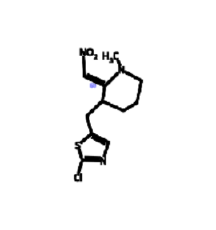 CN1CCCC(Cc2cnc(Cl)s2)/C1=C/[N+](=O)[O-]